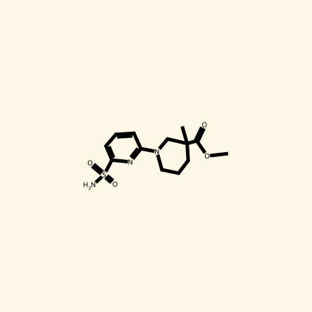 COC(=O)C1(C)CCCN(c2cccc(S(N)(=O)=O)n2)C1